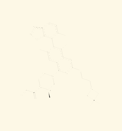 C=CC(=O)N1C[C@H](C)N(c2nc(OCCN3CC(F)(F)C3)nc3c(F)c(-c4c(C)ccc5[nH]ncc45)c(Cl)cc23)C[C@H]1C